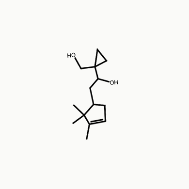 CC1=CCC(CC(O)C2(CO)CC2)C1(C)C